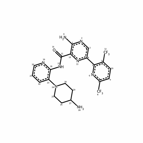 Nc1ncc(-c2nc(C(F)(F)F)ccc2C(F)(F)F)nc1C(=O)Nc1ncccc1N1CCC(N)CC1